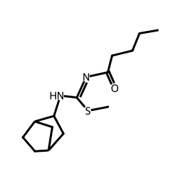 CCCCC(=O)/N=C(/NC1CC2CCC1C2)SC